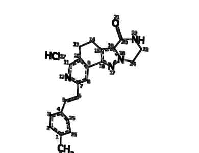 Cc1ccc(C=Cc2cc3c(cn2)CCc2c-3nn3c2C(=O)NCC3)cc1.Cl